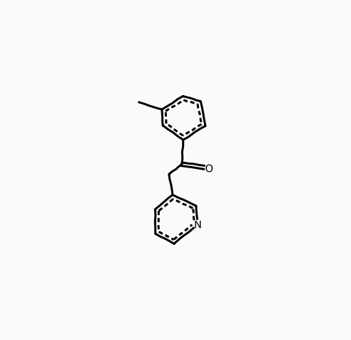 Cc1cccc(C(=O)Cc2cccnc2)c1